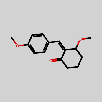 COc1ccc(/C=C2\C(=O)CCCC2OC)cc1